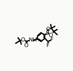 CC(C)(C)OC(=O)NCc1ccc(B2OC(C)(C)C(C)(C)O2)c(C(F)F)c1